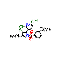 CNCc1cn(S(=O)(=O)c2cccc(OC)c2)c(-c2cccnc2Cl)c1F.Cl